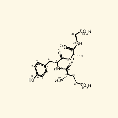 C[C@H](NC(=O)[C@H](Cc1ccc(O)cc1)NC(=O)[C@@H](N)CCC(=O)O)C(=O)NCC(=O)O